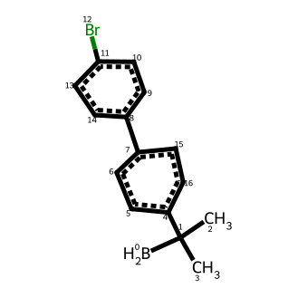 BC(C)(C)c1ccc(-c2ccc(Br)cc2)cc1